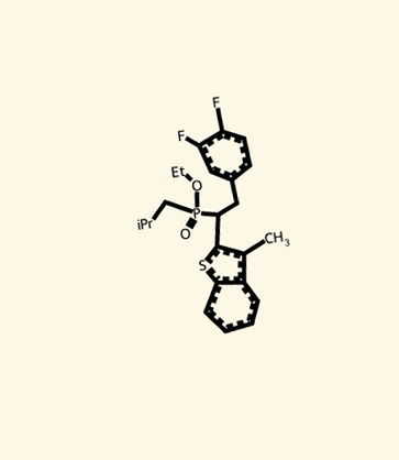 CCOP(=O)(CC(C)C)C(Cc1ccc(F)c(F)c1)c1sc2ccccc2c1C